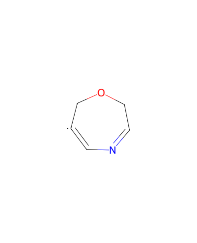 [C]1=CN=CCOC1